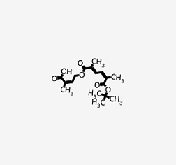 CC(=CCOC(=O)C(C)=CC=C(C)C(=O)OC(C)(C)C)C(=O)O